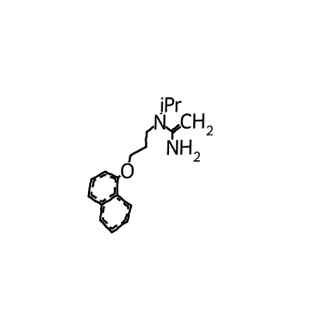 C=C(N)N(CCCOc1cccc2ccccc12)C(C)C